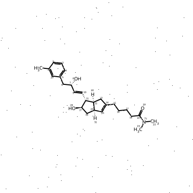 Cc1cccc(C[C@H](O)/C=C/[C@@H]2[C@H]3CC(CCCCC(=O)N(C)C)=C[C@H]3C[C@H]2O)c1